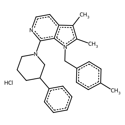 Cc1ccc(Cn2c(C)c(C)c3ccnc(N4CCCC(c5ccccc5)C4)c32)cc1.Cl